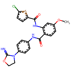 COc1ccc(C(=O)Nc2ccc(N3CCOC3=N)cc2)c(NC(=O)c2ccc(Cl)s2)c1